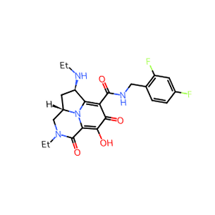 CCN[C@@H]1C[C@H]2CN(CC)C(=O)c3c(O)c(=O)c(C(=O)NCc4ccc(F)cc4F)c1n32